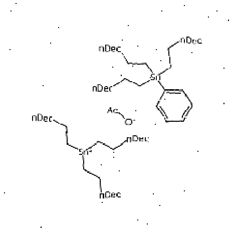 CC(=O)[O-].CCCCCCCCCCC[CH2][Sn+]([CH2]CCCCCCCCCCC)[CH2]CCCCCCCCCCC.CCCCCCCCCCC[CH2][Sn]([CH2]CCCCCCCCCCC)([CH2]CCCCCCCCCCC)[c]1ccccc1